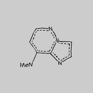 CNc1ccnn2ccnc12